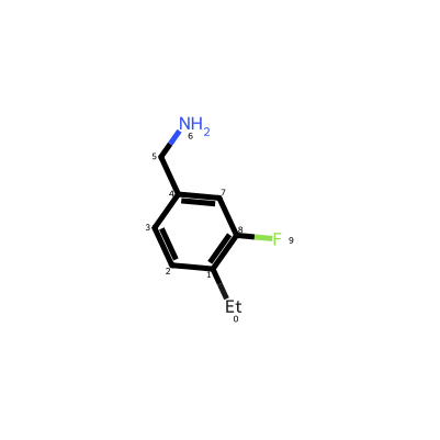 CCc1ccc(CN)cc1F